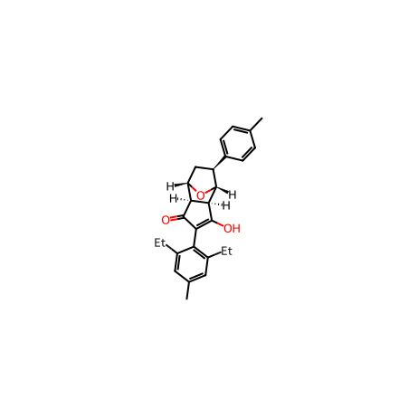 CCc1cc(C)cc(CC)c1C1=C(O)[C@@H]2[C@@H]3O[C@@H](C[C@H]3c3ccc(C)cc3)[C@@H]2C1=O